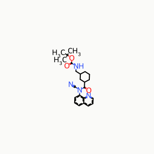 CC(C)(C)OC(=O)NCC1CCCC(C(=O)N(C#N)c2cccc3cccnc23)C1